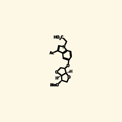 CO[C@@H]1CO[C@H]2[C@@H]1OC[C@H]2Oc1ccc2c(c1)c(C(C)=O)cn2CC(=O)O